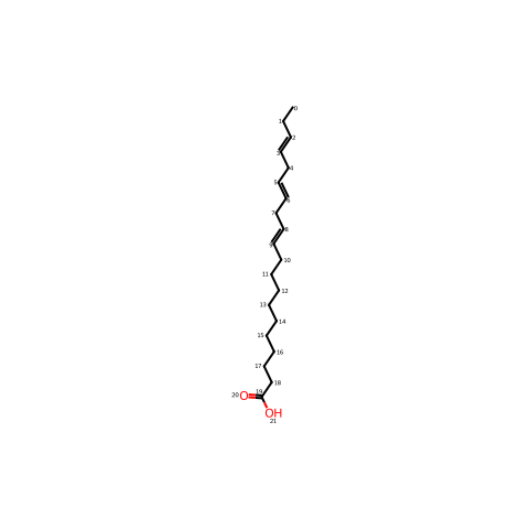 CC/C=C/C/C=C/C/C=C/CCCCCCCCCC(=O)O